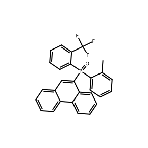 Cc1ccccc1P(=O)(c1ccccc1C(F)(F)F)c1cc2ccccc2c2ccccc12